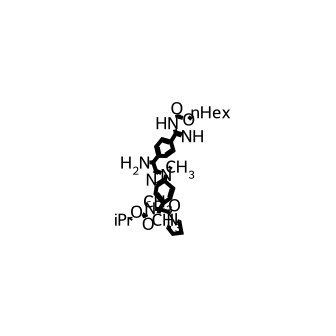 CCCCCCOC(=O)NC(=N)c1ccc(C(N)c2nc3cc(C(C)(C(=O)N4CCCC4)N(C)C(=O)OC(C)C)ccc3n2C)cc1